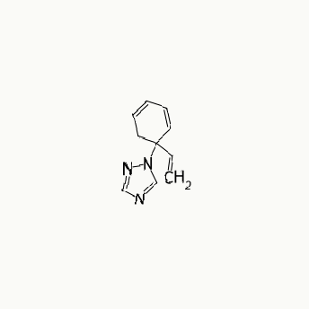 C=CC1(n2cncn2)C=CC=CC1